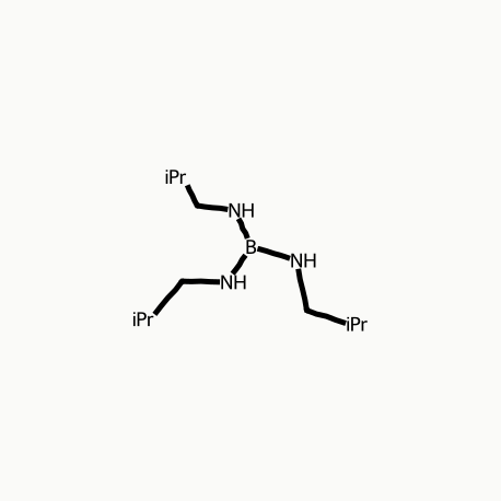 CC(C)CNB(NCC(C)C)NCC(C)C